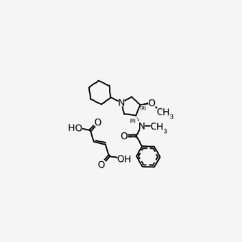 CO[C@@H]1CN(C2CCCCC2)C[C@H]1N(C)C(=O)c1ccccc1.O=C(O)C=CC(=O)O